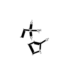 C=CS(=O)(=O)O.Clc1cccs1